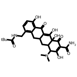 CN(C)C1C(O)=C(C(N)=O)C(=O)C2(O)C(O)=C3C(=O)c4c(O)ccc(CNC(=O)C(C)(C)C)c4CC3CC12